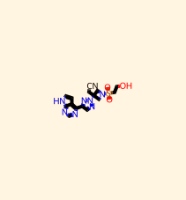 N#CCC1(n2ncc(-c3ncnc4[nH]ccc34)n2)CN(S(=O)(=O)CCO)C1